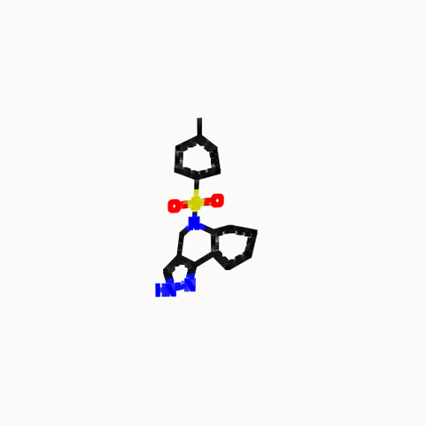 Cc1ccc(S(=O)(=O)N2Cc3c[nH]nc3-c3ccccc32)cc1